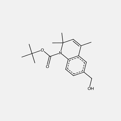 CC1=CC(C)(C)N(C(=O)OC(C)(C)C)c2ccc(CO)cc21